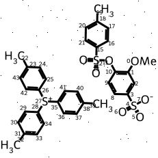 COc1cc(S(=O)(=O)[O-])ccc1OS(=O)(=O)c1ccc(C)cc1.Cc1ccc([S+](c2ccc(C)cc2)c2ccc(C)cc2)cc1